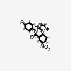 O=C(Nc1ccc(F)cc1)c1cc([N+](=O)[O-])ccc1-n1cncn1